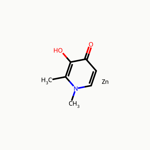 Cc1c(O)c(=O)ccn1C.[Zn]